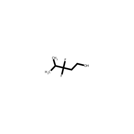 CC(C)C(F)(F)CCO